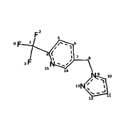 FC(F)(F)c1ccc(Cn2c[c]cn2)cn1